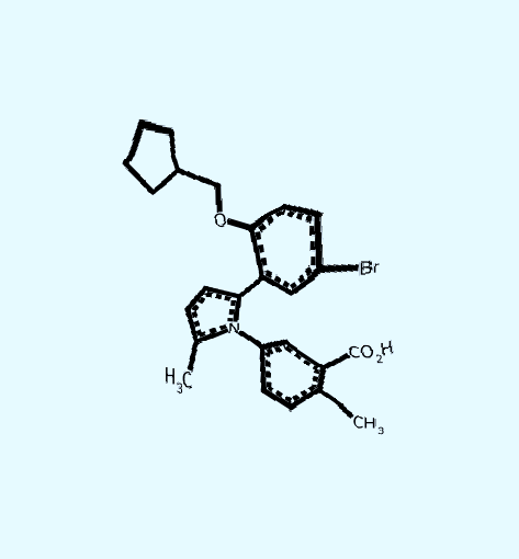 Cc1ccc(-n2c(C)ccc2-c2cc(Br)ccc2OCC2CCCC2)cc1C(=O)O